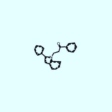 O=C(CCn1c(-c2ccccc2)cc2ccccc21)c1ccccc1